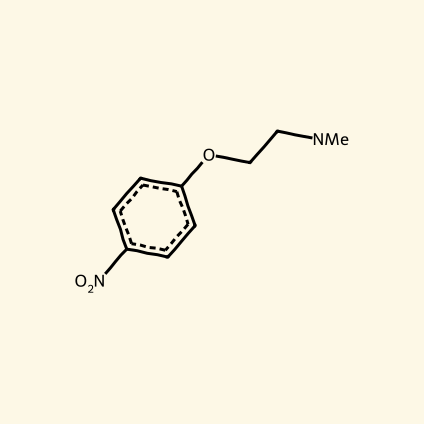 CNCCOc1ccc([N+](=O)[O-])cc1